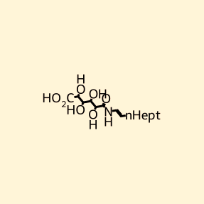 CCCCCCCC=CNC(=O)C(O)C(O)C(O)C(O)C(=O)O